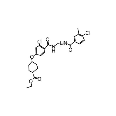 CCOC(=O)[C@H]1CC[C@@H](Oc2ccc(C(=O)NCCNC(=O)c3ccc(Cl)c(C)c3)c(Cl)c2)CC1